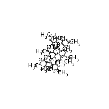 Cc1cc(C)c(B(c2c(C)cc(C)cc2C)c2cc3c(C(C)C)cc(B(c4c(C)cc(C)cc4C)c4c(C)cc(C)cc4C)c4ccc5c(C(C)C)ccc2c5c43)c(C)c1